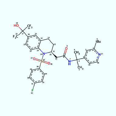 CC(C)(C)c1cc(C(C)(C)NC(=O)C[C@@H]2CCc3cc(C(O)(C(F)(F)F)C(F)(F)F)ccc3N2S(=O)(=O)c2ccc(F)cc2)ccn1